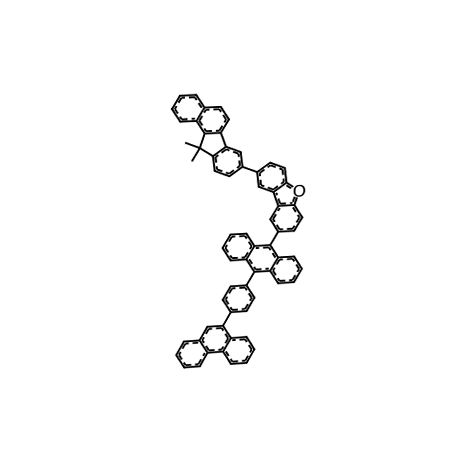 CC1(C)c2ccc(-c3ccc4oc5ccc(-c6c7ccccc7c(-c7ccc(-c8cc9ccccc9c9ccccc89)cc7)c7ccccc67)cc5c4c3)cc2-c2ccc3ccccc3c21